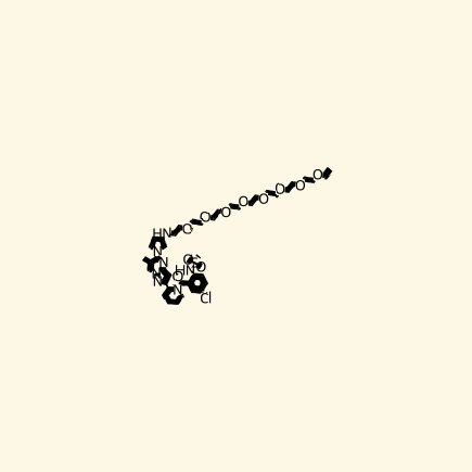 C=COCCOCCOCCOCCOCCOCCOCCOCCN[C@H]1CCN(c2nc3cc([C@@H]4CCCCN4C(=O)c4cc(Cl)ccc4NS(C)(=O)=O)nn3cc2C)C1